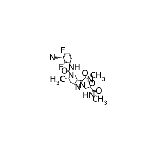 CNC(=O)[C@H]1Cn2nc3c(c2C(=O)N(C)O1)CN(C(=O)Nc1ccc(F)c(C#N)c1F)[C@H](C)C3